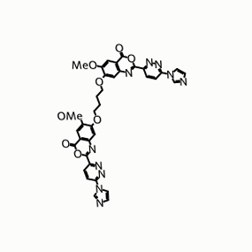 COc1cc2c(=O)oc(-c3ccc(-n4ccnc4)nn3)nc2cc1OCCCCOc1cc2nc(-c3ccc(-n4ccnc4)nn3)oc(=O)c2cc1OC